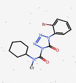 CCN(C(=O)n1nnn(-c2ccccc2Br)c1=O)C1CCCCC1